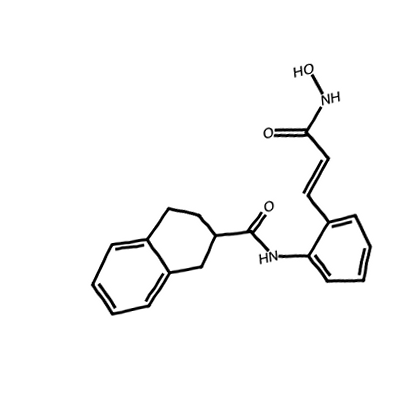 O=C(/C=C/c1ccccc1NC(=O)C1CCc2ccccc2C1)NO